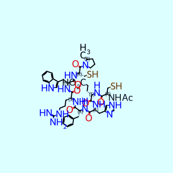 CC(=O)N[C@@H](CS)C(=O)N[C@@H](CCC(=O)O)C(=O)N[C@@H](Cc1c[nH]cn1)C(=O)N[C@H](Cc1ccccc1)C(=O)N[C@@H](CCCNC(=N)N)C(=O)N[C@@H](Cc1c[nH]c2ccccc12)C(=O)N[C@@H](CS)C(=O)N1CCC[C@H]1C